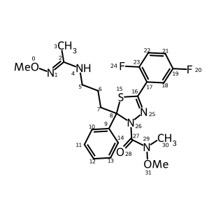 CON=C(C)NCCCC1(c2ccccc2)SC(c2cc(F)ccc2F)=NN1C(=O)N(C)OC